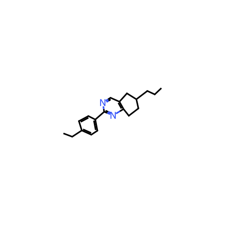 CCCC1CCc2nc(-c3ccc(CC)cc3)ncc2C1